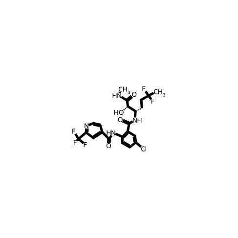 CNC(=O)[C@@H](O)[C@H](CCC(C)(F)F)NC(=O)c1cc(Cl)ccc1NC(=O)c1ccnc(C(F)(F)F)c1